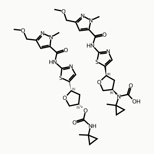 COCc1cc(C(=O)Nc2ncc([C@@H]3C[C@H](OC(=O)NC4(C)CC4)CO3)s2)n(C)n1.COCc1cc(C(=O)Nc2ncc([C@H]3C[C@@H](N(C(=O)O)C4(C)CC4)CO3)s2)n(C)n1